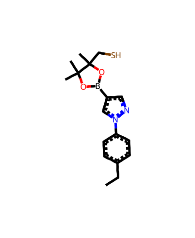 CCc1ccc(-n2cc(B3OC(C)(C)C(C)(CS)O3)cn2)cc1